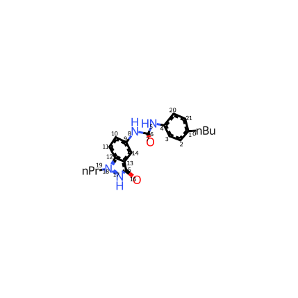 CCCCc1ccc(NC(=O)Nc2ccc3c(c2)c(=O)[nH]n3CCC)cc1